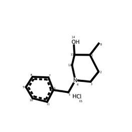 CC1CCN(Cc2ccccc2)CC1O.Cl